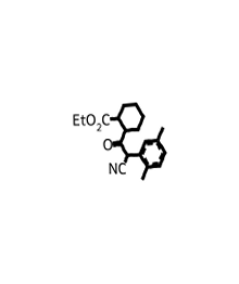 CCOC(=O)C1CCCCC1C(=O)C(C#N)c1cc(C)ccc1C